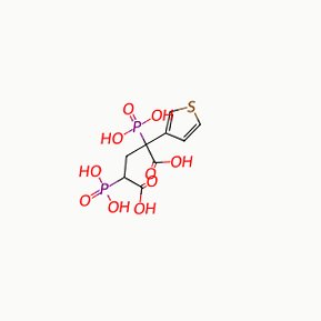 O=C(O)C(CC(C(=O)O)(c1ccsc1)P(=O)(O)O)P(=O)(O)O